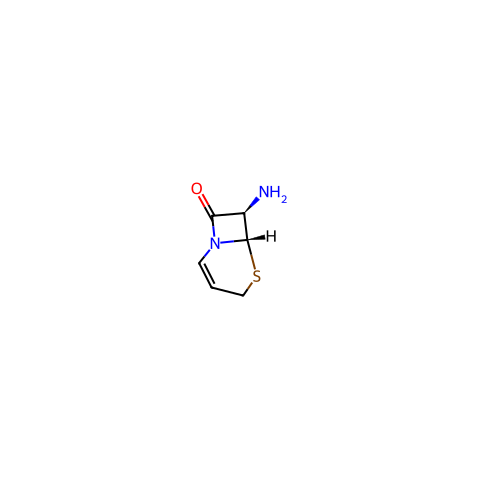 N[C@@H]1C(=O)N2C=CCS[C@@H]12